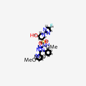 COc1cccc(-c2nnc(NS(=O)(=O)[C@@H]3C[C@H](O)CN(c4ncc(F)cn4)C3)n2-c2c(OC)cccc2OC)n1